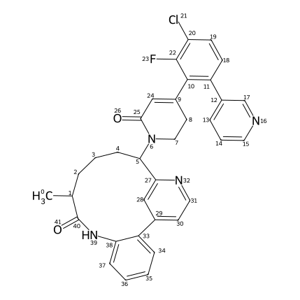 CC1CCCC(N2CCC(c3c(-c4cccnc4)ccc(Cl)c3F)=CC2=O)c2cc(ccn2)-c2ccccc2NC1=O